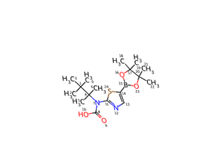 CC(C)(C)C(C)(C)N(C(=O)O)c1ncc(B2OC(C)(C)C(C)(C)O2)s1